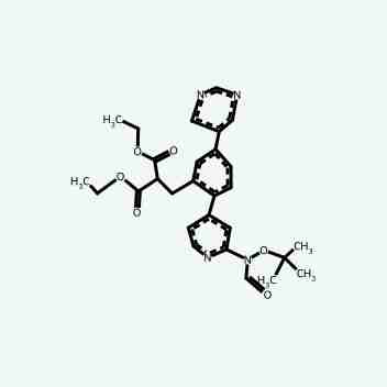 CCOC(=O)C(Cc1cc(-c2cncnc2)ccc1-c1ccnc(N(C=O)OC(C)(C)C)c1)C(=O)OCC